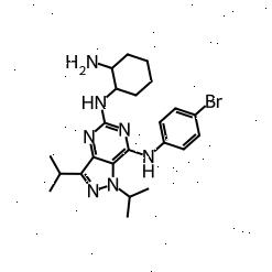 CC(C)c1nn(C(C)C)c2c(Nc3ccc(Br)cc3)nc(NC3CCCCC3N)nc12